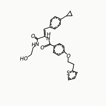 O=C(NCCO)/C(=C/c1ccc(C2CC2)cc1)NC(=O)c1ccc(OCCc2cccs2)cc1